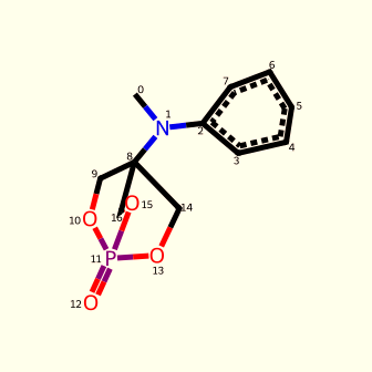 CN(c1ccccc1)C12COP(=O)(OC1)OC2